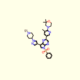 CCN1CCC(n2cc(-c3cn(S(=O)(=O)c4ccccc4)c4ncc(-c5cnc(N6CCOC(C)(C)C6)c(C)c5)nc34)cn2)CC1